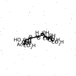 CC(=O)CCC(NC(=O)NC(CCCNC(=O)CCCCCNC(=O)CCc1ccc(O)c(CN(CCN(CC(=O)O)Cc2cc(CCC(=O)O)ccc2O)CC(=O)O)c1)C(=O)O)C(=O)O